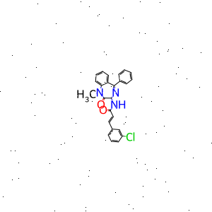 CN1C(=O)[C@H](NC(=O)C=Cc2cccc(Cl)c2)N=C(c2ccccc2)c2ccccc21